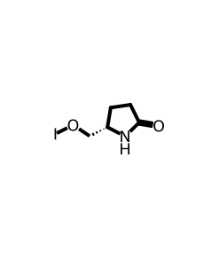 O=C1CC[C@@H](COI)N1